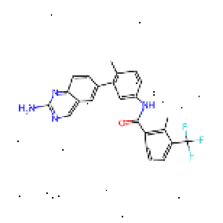 Cc1ccc(NC(=O)c2cccc(C(F)(F)F)c2C)cc1-c1ccc2nc(N)ncc2c1